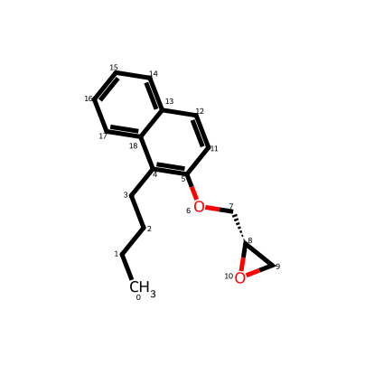 CCCCc1c(OC[C@@H]2CO2)ccc2ccccc12